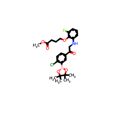 COC(=O)CCCOc1c(F)cccc1NCC(=O)c1ccc(Cl)c(B2OC(C)(C)C(C)(C)O2)c1